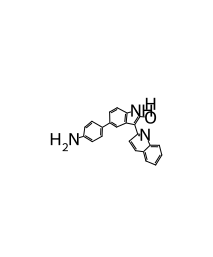 Nc1ccc(-c2ccc3[nH]c(O)c(-c4ccc5ccccc5n4)c3c2)cc1